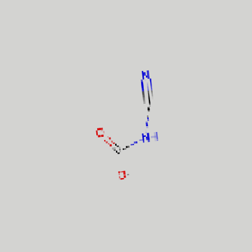 N#CNC([O])=O